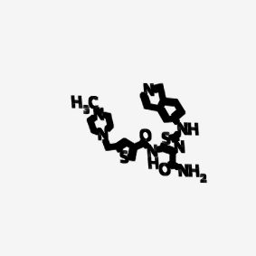 CN1CCN(Cc2cc(C(=O)Nc3sc(Nc4ccc5cnccc5c4)nc3C(N)=O)cs2)CC1